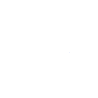 NC(CCC1CCCCO1)C(=O)O